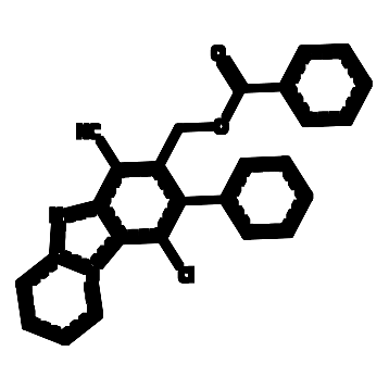 N#Cc1c(COC(=O)c2ccccc2)c(-c2ccccc2)c(Cl)c2c1nc1ccccn12